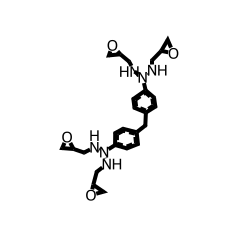 c1cc(N(NCC2CO2)NCC2CO2)ccc1Cc1ccc(N(NCC2CO2)NCC2CO2)cc1